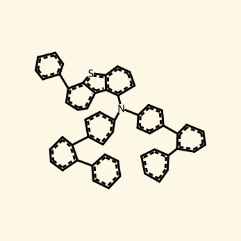 c1ccc(-c2ccccc2-c2ccc(N(c3ccc(-c4ccccc4-c4ccccc4)cc3)c3cccc4sc5c(-c6ccccc6)cccc5c34)cc2)cc1